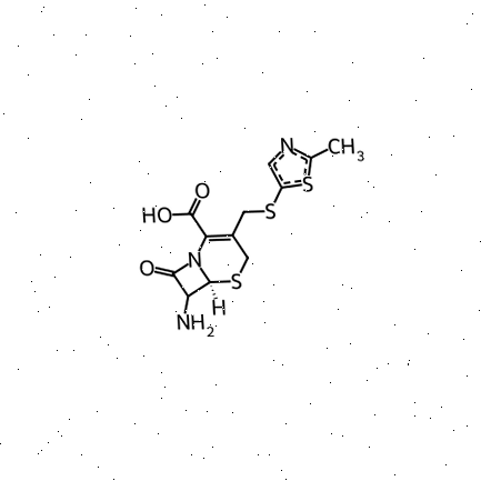 Cc1ncc(SCC2=C(C(=O)O)N3C(=O)C(N)[C@@H]3SC2)s1